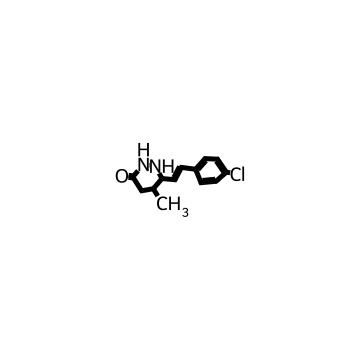 CC1CC(=O)NNC1/C=C/c1ccc(Cl)cc1